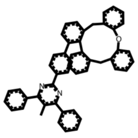 Cc1c(-c2ccccc2)nc(-c2ccc(-c3cccc4c3-c3ccccc3Cc3ccccc3Oc3ccccc3C4)cc2)nc1-c1ccccc1